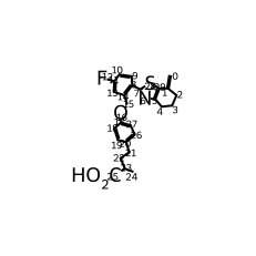 C=C1CCCc2nc(-c3ccc(F)cc3COc3ccc(CCC(C)C(=O)O)cc3)sc21